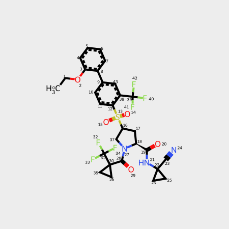 CCOc1ccccc1-c1ccc(S(=O)(=O)C2C[C@@H](C(=O)NC3(C#N)CC3)N(C(=O)C3(C(F)(F)F)CC3)C2)c(C(F)(F)F)c1